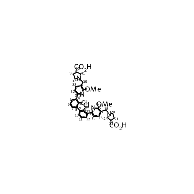 COc1nc(-c2cccc(-c3cccc(-c4ccc(CN5CC[C@@H](C(=O)O)C5)c(OC)n4)c3Cl)c2Cl)ccc1CN1CC[C@@H](C(=O)O)C1